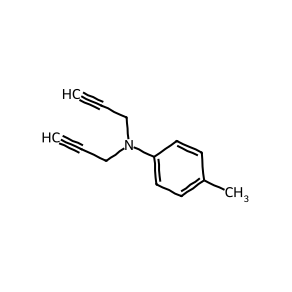 C#CCN(CC#C)c1ccc(C)cc1